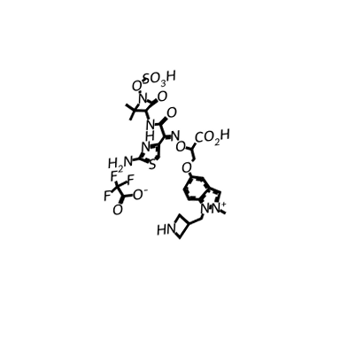 C[n+]1cc2cc(OCC(ON=C(C(=O)NC3C(=O)N(OS(=O)(=O)O)C3(C)C)c3csc(N)n3)C(=O)O)ccc2n1CC1CNC1.O=C([O-])C(F)(F)F